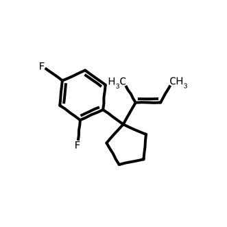 C/C=C(\C)C1(c2ccc(F)cc2F)CCCC1